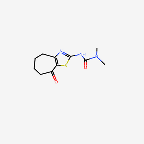 CN(C)C(=O)Nc1nc2c(s1)C(=O)CCCC2